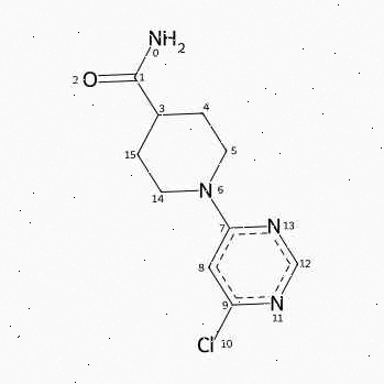 NC(=O)C1CCN(c2cc(Cl)ncn2)CC1